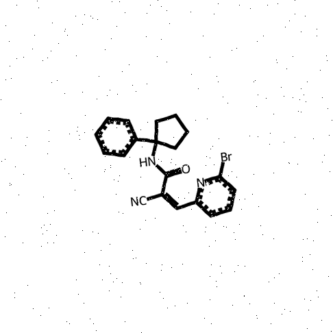 N#CC(=Cc1cccc(Br)n1)C(=O)NC1(c2ccccc2)CCCC1